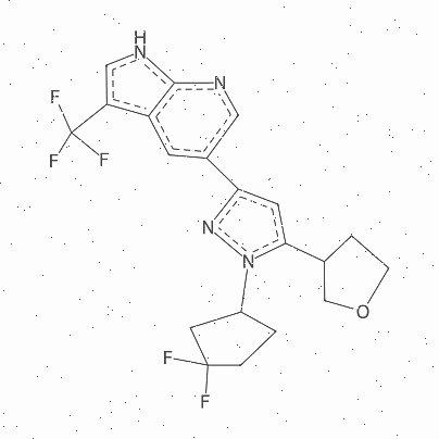 FC1(F)CCC(n2nc(-c3cnc4[nH]cc(C(F)(F)F)c4c3)cc2C2CCOC2)C1